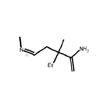 C=C(N)C(C)(CC)C/C=N\C